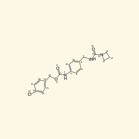 O=C(Nc1ccc(CNC(=O)N2CCC2)cc1)OCc1ccc(Cl)cc1